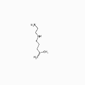 C=C(C)CCCNCCN